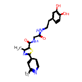 CCc1cc(-c2nc(C)c(C(=O)NCC(=O)NCCc3ccc(O)c(O)c3)s2)ccn1